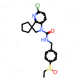 CC[S+]([O-])c1ccc(CNC(=O)N2CC3(CCCC3)c3nc(Cl)ccc32)cc1